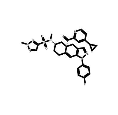 CN([C@H]1CCC2=Cc3c(cnn3-c3ccc(F)cc3)C[C@]2(C(=O)c2cc(C3CC3)ccn2)C1)S(=O)(=O)c1cnn(C)n1